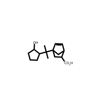 CC(C)(C1CCCC1O)C12C=CC(C1)C(C(=O)O)C2